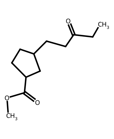 CCC(=O)CCC1CCC(C(=O)OC)C1